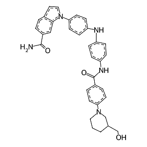 NC(=O)c1ccc2ccn(-c3ccc(Nc4ccc(NC(=O)c5ccc(N6CCCC(CO)C6)cc5)cc4)cc3)c2c1